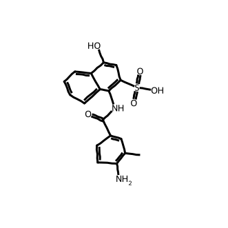 Cc1cc(C(=O)Nc2c(S(=O)(=O)O)cc(O)c3ccccc23)ccc1N